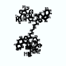 CN[C@@H](C)C(=O)N[C@H](C(=O)N1CCC[C@H]1CN(Cc1cccc2ccccc12)C(=O)CCCCCCCCC(=O)N(Cc1cccc2ccccc12)C[C@@H]1CCCN1C(=O)[C@@H](NC(=O)[C@H](C)NC)C(C)(C)C)C(C)(C)C